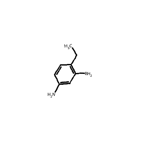 Bc1cc(N)ccc1CC